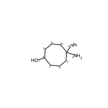 CCCC1(N)CCCC(O)CCC1